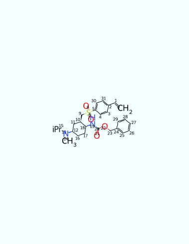 C=Cc1ccc(S(=O)(=O)C[C@@H]2C[C@H](N(C)C(C)C)CC[C@@H]2NC(=O)OCc2ccccc2)cc1